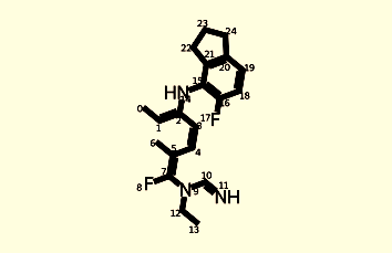 C/C=C(/C=C\C(C)=C(\F)N(C=N)CC)Nc1c(F)ccc2c1CCC2